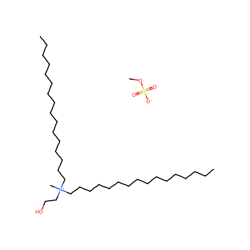 CCCCCCCCCCCCCCCC[N+](C)(CCO)CCCCCCCCCCCCCCCC.COS(=O)(=O)[O-]